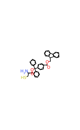 N[C@H](CS)C(=O)OC(c1ccccc1)(c1ccccc1)c1ccc(C(=O)OCC2c3ccccc3-c3ccccc32)cc1